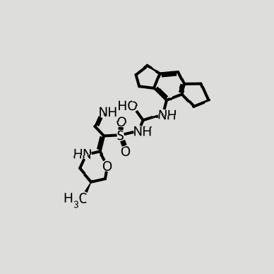 C[C@H]1CN/C(=C(\C=N)S(=O)(=O)NC(O)Nc2c3c(cc4c2CCC4)CCC3)OC1